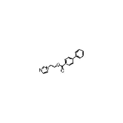 O=C(OCCn1ccnc1)c1ccc(-c2ccccc2)cc1